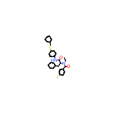 CCN(C(=O)c1ccc(F)cc1)C(Cc1ccccc1)C(=O)Nc1ccc(SCc2ccccc2)cc1